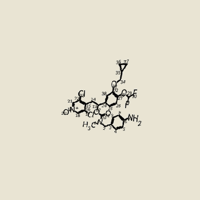 CN(Cc1ccc(N)cc1)C(=O)OC(Cc1c(Cl)c[n+]([O-])cc1Cl)c1ccc(OC(F)F)c(OCC2CC2)c1